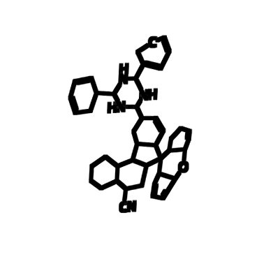 N#CC1CC2C(C3CCCCC13)C1CC(C3NC(C4=CC=CCC4)NC(C4C=CC=CC4)N3)C=CC1C21C2C=CC=CC2OC2C=CCCC21